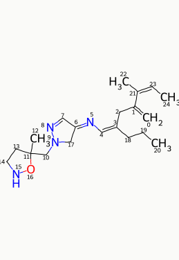 C=C(C/C(=C\N=C1\C=NN(CC2(C)CCNO2)C1)CCC)/C(C)=C\C